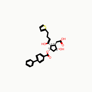 O=C(O)C[C@@H]1[C@@H](C(O)=CCCc2cccs2)[C@@H](OC(=O)c2ccc(-c3ccccc3)cc2)C[C@H]1O